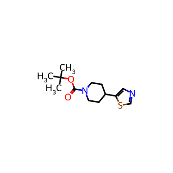 CC(C)(C)OC(=O)N1CCC(c2cncs2)CC1